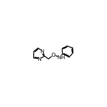 c1ccc(NOCc2ncccn2)cc1